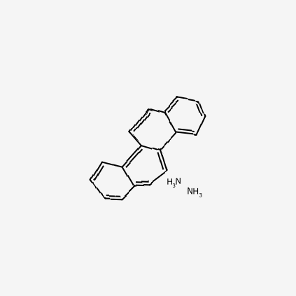 N.N.c1ccc2c(c1)ccc1c3ccccc3ccc21